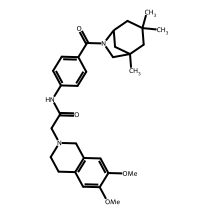 COc1cc2c(cc1OC)CN(CC(=O)Nc1ccc(C(=O)N3CC4(C)CC3CC(C)(C)C4)cc1)CC2